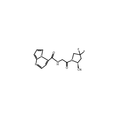 N#C[C@@H]1CC(F)(F)CN1C(=O)CNC(=O)c1ccnc2cccn12